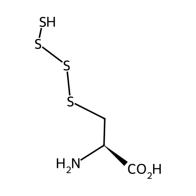 N[C@@H](CSSSS)C(=O)O